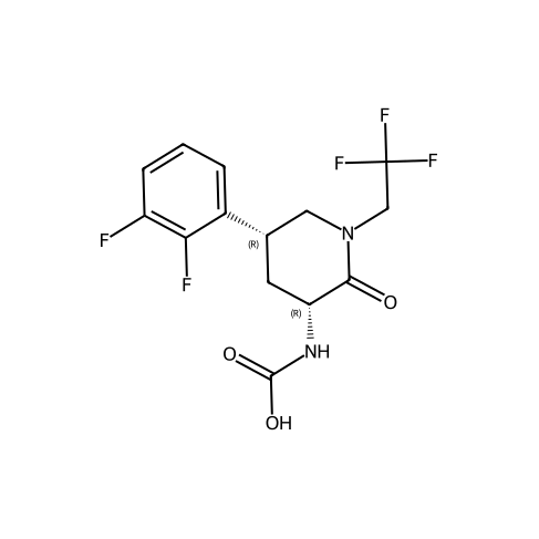 O=C(O)N[C@@H]1C[C@H](c2cccc(F)c2F)CN(CC(F)(F)F)C1=O